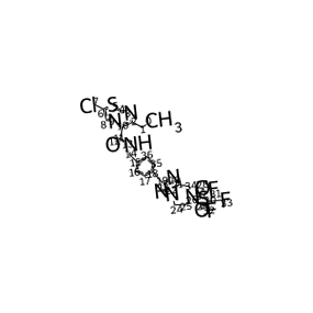 CCc1nc2sc(Cl)cn2c1C(=O)NCc1ccc(-c2nc3n(n2)CCN(S(=O)(=O)C(F)(F)F)C3)cc1